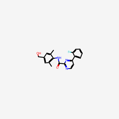 Cc1cc(CO)cc(C)c1NC(=O)c1nccc(-c2ccccc2F)n1